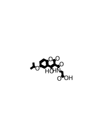 CC(C)Oc1ccc2oc(=O)c(C(=O)NCC(=O)O)c(O)c2c1